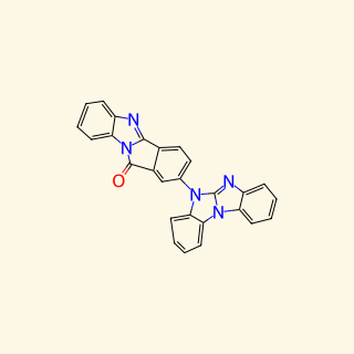 O=C1c2cc(-n3c4ccccc4n4c5ccccc5nc34)ccc2-c2nc3ccccc3n21